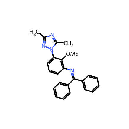 COc1c(N=C(c2ccccc2)c2ccccc2)cccc1-n1nc(C)nc1C